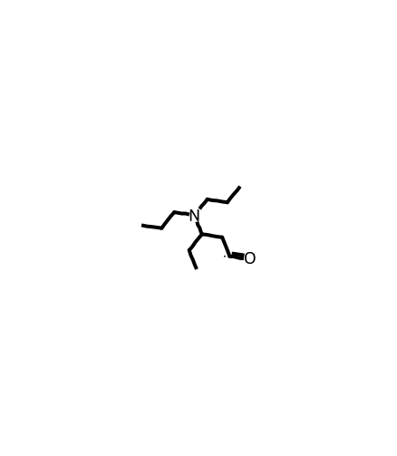 CCCN(CCC)C(CC)C[C]=O